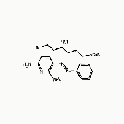 CCCCCCCCCCCCCCCCBr.Cl.Nc1ccc(/N=N/c2ccccc2)c(N)n1